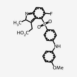 COc1cccc(Nc2ccc(S(=O)(=O)c3c(F)ccc4c3=C(CC(=O)O)C(C)N=4)cc2)c1